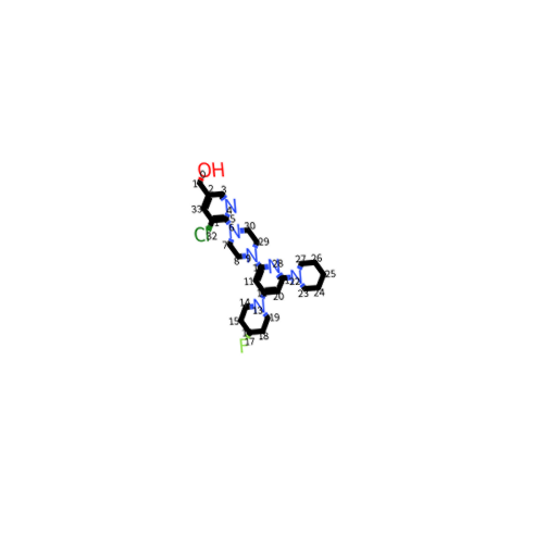 OCc1cnc(N2CCN(c3cc(N4CCC(F)CC4)cc(N4CCCCC4)n3)CC2)c(Cl)c1